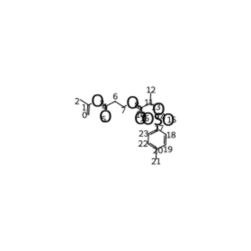 C=C(C)OC(=O)CCOC(=O)C(C)OS(=O)(=O)c1ccc(C)cc1